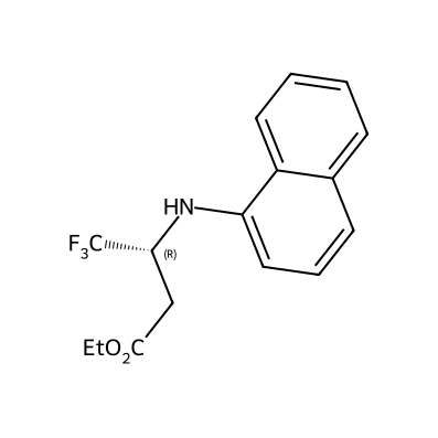 CCOC(=O)C[C@@H](Nc1cccc2ccccc12)C(F)(F)F